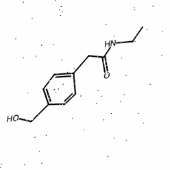 C[CH]NC(=O)Cc1ccc(CO)cc1